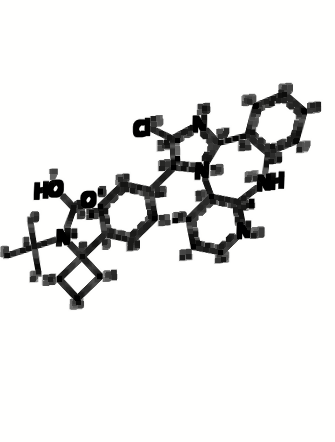 CC(C)(C)N(C(=O)O)C1(c2ccc(-c3c(Cl)nc4n3-c3cccnc3Nc3ccccc3-4)cc2)CCC1